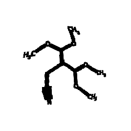 COC(OC)C(CC#N)C(OC)OC